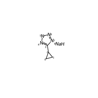 C1CC1C1=N[N]N=N1.[NaH]